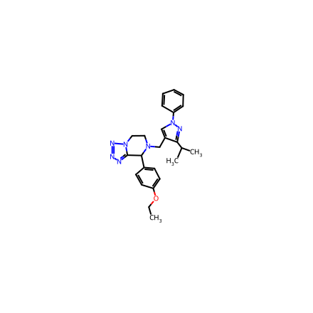 CCOc1ccc(C2c3nnnn3CCN2Cc2cn(-c3ccccc3)nc2C(C)C)cc1